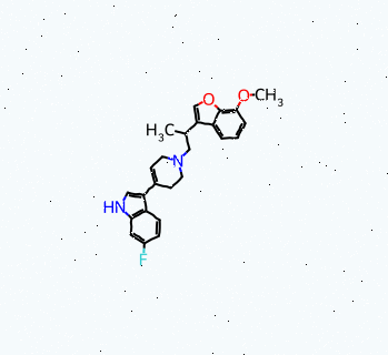 COc1cccc2c(C(C)CN3CC=C(c4c[nH]c5cc(F)ccc45)CC3)coc12